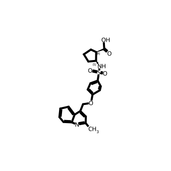 Cc1cc(COc2ccc(S(=O)(=O)N[C@H]3CCC[C@H]3C(=O)O)cc2)c2ccccc2n1